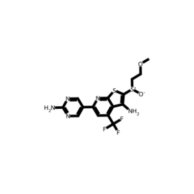 COCC[S+]([O-])c1sc2nc(-c3cnc(N)nc3)cc(C(F)(F)F)c2c1N